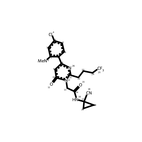 CNc1cc(Cl)ccc1-c1cc(=O)n(CC(=O)NC2(C#N)CC2)c(CCCC(F)(F)F)n1